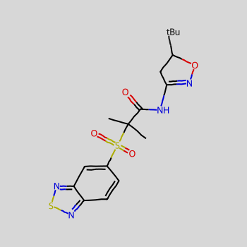 CC(C)(C)C1CC(NC(=O)C(C)(C)S(=O)(=O)c2ccc3nsnc3c2)=NO1